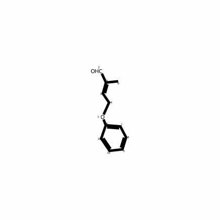 CC(C=O)=CCOc1ccccc1